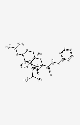 CC(C)C[C@@H]1[C@@H]2[C@@H]3C=NC1(C(=O)NCc1ccccc1)C[C@@H]3CCN2CC(C)C